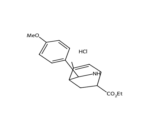 CCOC(=O)C1CC2C(C)=CC1NC2c1ccc(OC)cc1.Cl